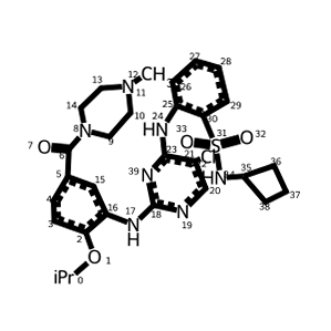 CC(C)Oc1ccc(C(=O)N2CCN(C)CC2)cc1Nc1ncc(Cl)c(Nc2ccccc2S(=O)(=O)NC2CCC2)n1